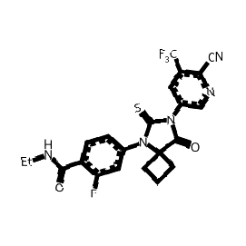 CCNC(=O)c1ccc(N2C(=S)N(c3cnc(C#N)c(C(F)(F)F)c3)C(=O)C23CCC3)cc1F